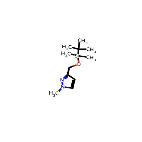 Cn1ccc(CO[Si](C)(C)C(C)(C)C)n1